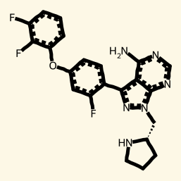 Nc1ncnc2c1c(-c1ccc(Oc3cccc(F)c3F)cc1F)nn2C[C@@H]1CCCN1